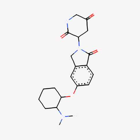 CCN(CC)C1CCCCC1Oc1ccc2c(c1)CN(C1CC(=O)CNC1=O)C2=O